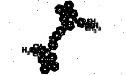 C[Si](C)(C)c1ccc(N(c2cccc(C3(c4ccccc4)c4ccccc4-c4ccccc43)c2)c2ccc3c(c2)sc2cc4cc5sc6cc(N(c7ccc([Si](C)(C)C)cc7)c7cccc(C8(c9ccccc9)c9ccccc9-c9ccccc98)c7)ccc6c5cc4cc23)cc1